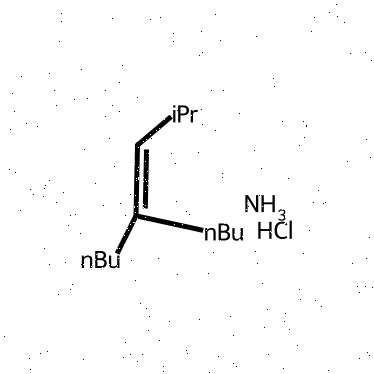 CCCCC(=CC(C)C)CCCC.Cl.N